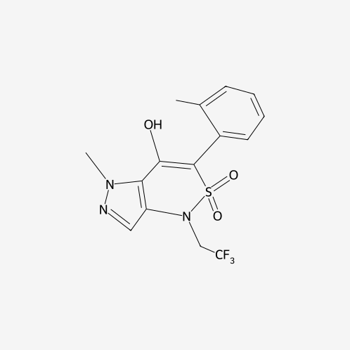 Cc1ccccc1C1=C(O)c2c(cnn2C)N(CC(F)(F)F)S1(=O)=O